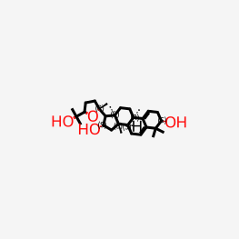 CC(C)(O)C1CC[C@](C)(C2[C@@H](O)C[C@@]3(C)[C@@H]4CC=C5C(=CC[C@H](O)C5(C)C)[C@]4(C)CC[C@]23C)O1